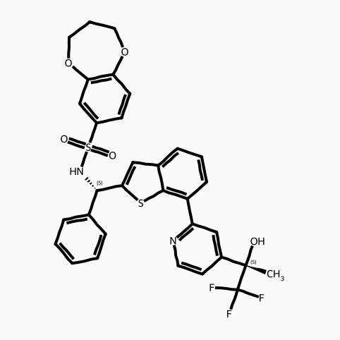 C[C@](O)(c1ccnc(-c2cccc3cc([C@@H](NS(=O)(=O)c4ccc5c(c4)OCCCO5)c4ccccc4)sc23)c1)C(F)(F)F